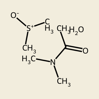 CC(=O)N(C)C.C[S+](C)[O-].O